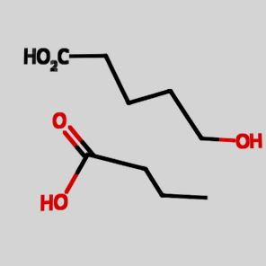 CCCC(=O)O.O=C(O)CCCCO